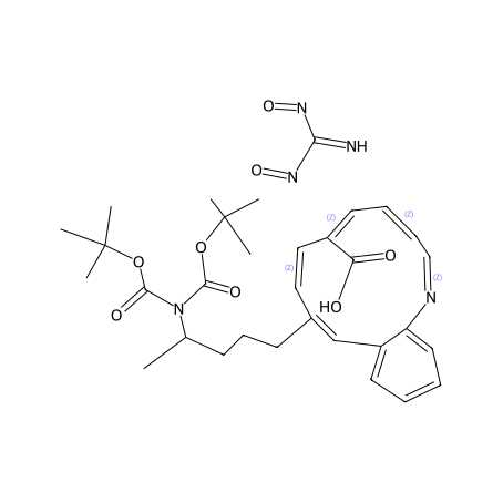 CC(CCCC1=Cc2ccccc2\N=C/C=C\C=C(C(=O)O)\C=C/1)N(C(=O)OC(C)(C)C)C(=O)OC(C)(C)C.N=C(N=O)N=O